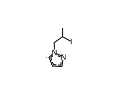 CC(I)Cn1[c]ccn1